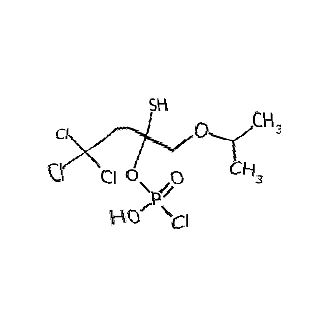 CC(C)OCC(S)(CC(Cl)(Cl)Cl)OP(=O)(O)Cl